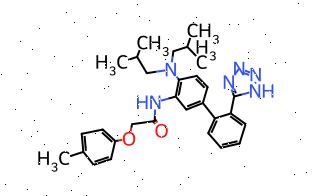 Cc1ccc(OCC(=O)Nc2cc(-c3ccccc3-c3nnn[nH]3)ccc2N(CC(C)C)CC(C)C)cc1